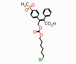 CS(=O)(=O)c1ccc(/C(COC(=O)OCCCCCCBr)=C(/C(=O)O)c2ccccc2)cc1